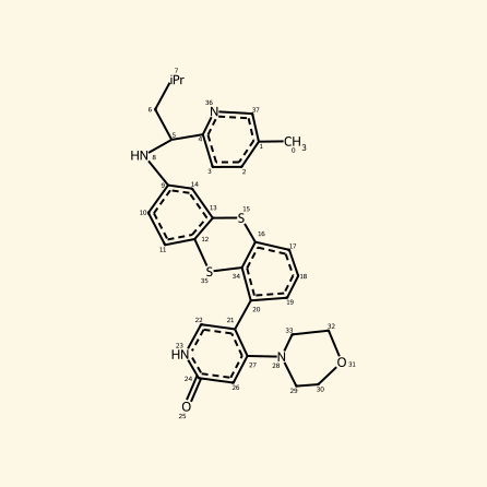 Cc1ccc(C(CC(C)C)Nc2ccc3c(c2)Sc2cccc(-c4c[nH]c(=O)cc4N4CCOCC4)c2S3)nc1